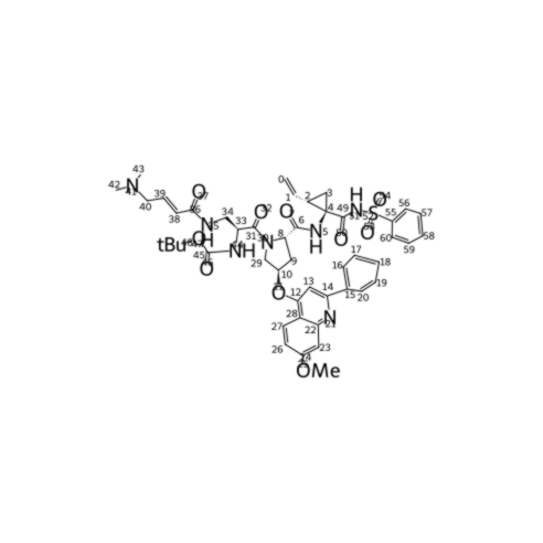 C=C[C@@H]1C[C@]1(NC(=O)[C@@H]1C[C@@H](Oc2cc(-c3ccccc3)nc3cc(OC)ccc23)CN1C(=O)[C@H](CNC(=O)/C=C/CN(C)C)NC(=O)OC(C)(C)C)C(=O)NS(=O)(=O)c1ccccc1